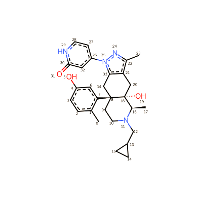 Cc1ccc(O)cc1[C@]12CCN(CC3CC3)[C@H](C)[C@]1(O)Cc1c(C)nn(-c3cc[nH]c(=O)c3)c1C2